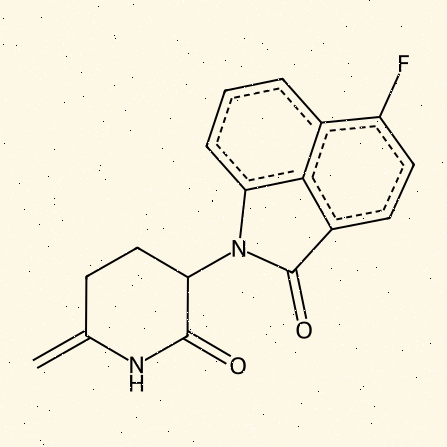 C=C1CCC(N2C(=O)c3ccc(F)c4cccc2c34)C(=O)N1